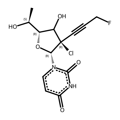 C[C@H](O)[C@H]1O[C@@H](n2ccc(=O)[nH]c2=O)[C@@](Cl)(C#CCF)C1O